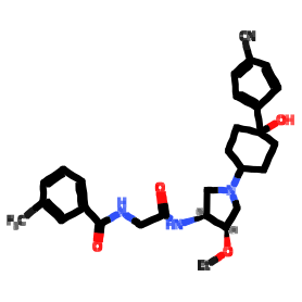 CCO[C@@H]1CN(C2CCC(O)(c3ccc(C#N)cc3)CC2)C[C@@H]1NC(=O)CNC(=O)c1cccc(C(F)(F)F)c1